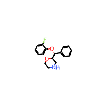 Fc1ccccc1O[C@H](c1ccccc1)C1CNCCO1